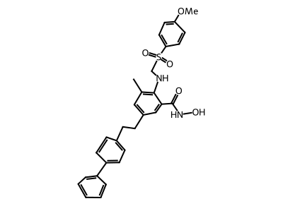 COc1ccc(S(=O)(=O)CNc2c(C)cc(CCc3ccc(-c4ccccc4)cc3)cc2C(=O)NO)cc1